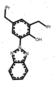 CC(C)Cc1cc(CC(C)C)c(O)c(-n2nc3ccccc3n2)c1